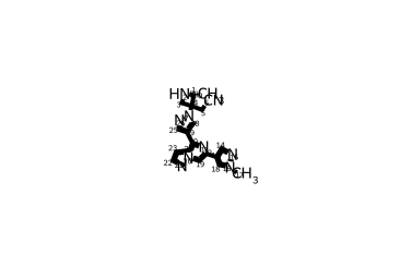 C[C@H]1NCC1(CC#N)n1cc(-c2nc(-c3cnn(C)c3)cn3nccc23)cn1